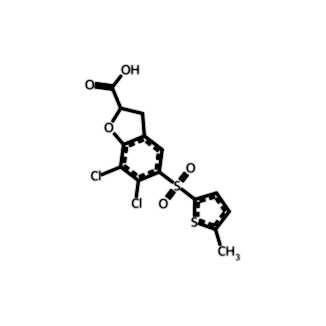 Cc1ccc(S(=O)(=O)c2cc3c(c(Cl)c2Cl)OC(C(=O)O)C3)s1